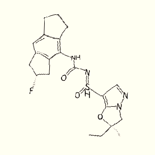 CC[C@]1(C)Cn2ncc([SH](=O)=NC(=O)Nc3c4c(cc5c3C[C@H](F)C5)CCC4)c2O1